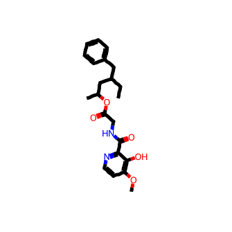 CCC(Cc1ccccc1)CC(C)OC(=O)CNC(=O)c1nccc(OC)c1O